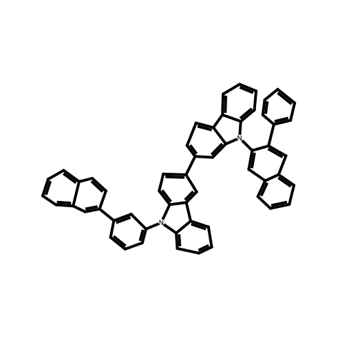 c1ccc(-c2cc3ccccc3cc2-n2c3ccccc3c3ccc(-c4ccc5c(c4)c4ccccc4n5-c4cccc(-c5ccc6ccccc6c5)c4)cc32)cc1